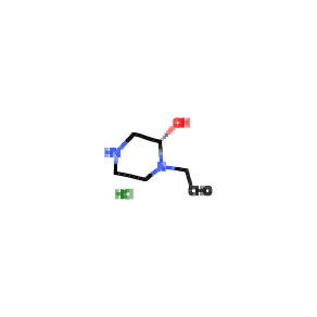 Cl.O=CCN1CCNC[C@@H]1O